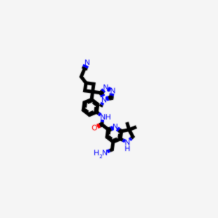 Cn1cnnc1C1(c2cccc(NC(=O)c3cc(CN)c4c(n3)C(C)(C)CN4)c2)CC(CC#N)C1